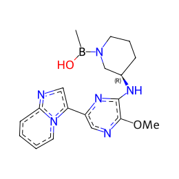 COc1ncc(-c2cnc3ccccn23)nc1N[C@@H]1CCCN(B(C)O)C1